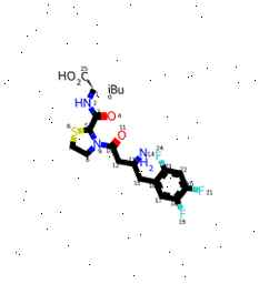 CC[C@H](C)[C@H](NC(=O)C1SCCN1C(=O)CC(N)Cc1cc(F)c(F)cc1F)C(=O)O